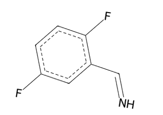 N=Cc1cc(F)ccc1F